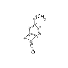 C=Cc1ccc2c(c1)CC2=C=O